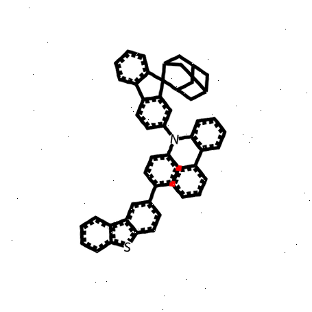 c1ccc(-c2ccccc2N(c2ccc(-c3ccc4sc5ccccc5c4c3)cc2)c2ccc3c(c2)C2(c4ccccc4-3)C3CC4CC(C3)CC2C4)cc1